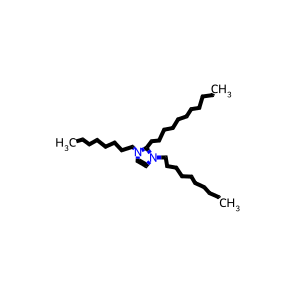 CCCCCCCCCCCC1N(CCCCCCCC)C=CN1CCCCCCCCCC